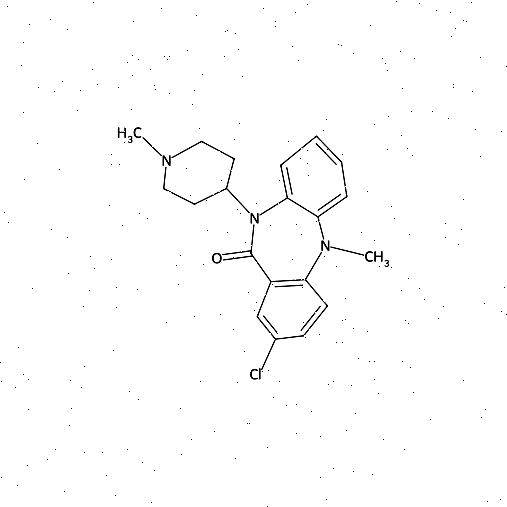 CN1CCC(N2C(=O)c3cc(Cl)ccc3N(C)c3ccccc32)CC1